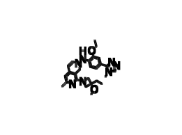 CCOc1cc(-c2nncn2C)ccc1NN1C=Cc2cc(C)nc(N3CC(CC)(OC)C3)c2C1